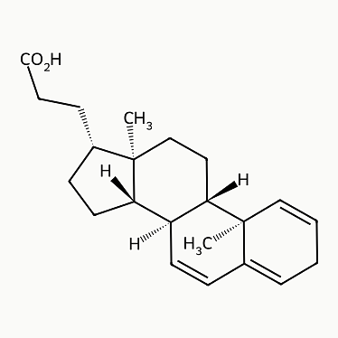 C[C@]12CC[C@H]3[C@@H](C=CC4=CCC=C[C@@]43C)[C@@H]1CC[C@@H]2CCC(=O)O